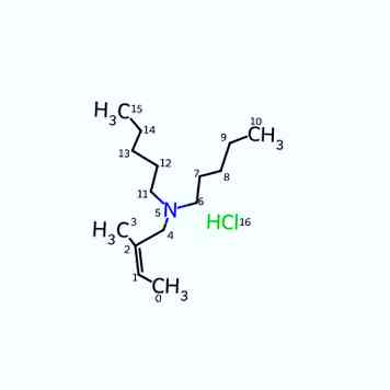 CC=C(C)CN(CCCCC)CCCCC.Cl